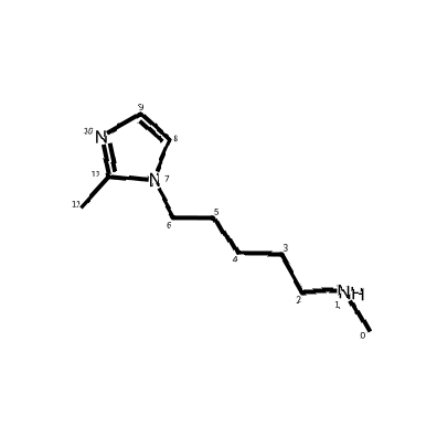 CNCCCCCn1ccnc1C